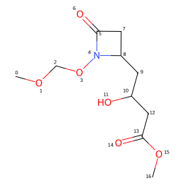 COCON1C(=O)CC1CC(O)CC(=O)OC